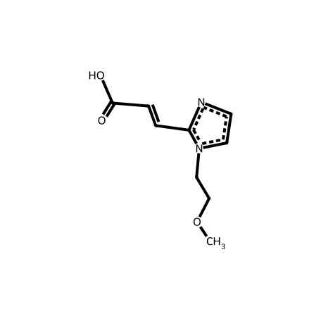 COCCn1ccnc1/C=C/C(=O)O